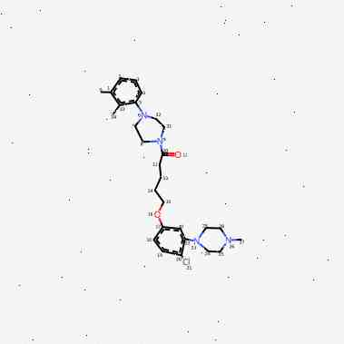 Cc1cccc(N2CCN(C(=O)CCCCOc3ccc(Cl)c(N4CCN(C)CC4)c3)CC2)c1C